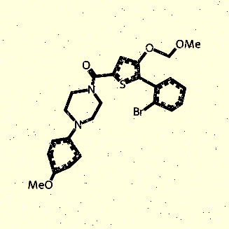 COCOc1cc(C(=O)N2CCN(c3ccc(OC)cc3)CC2)sc1-c1ccccc1Br